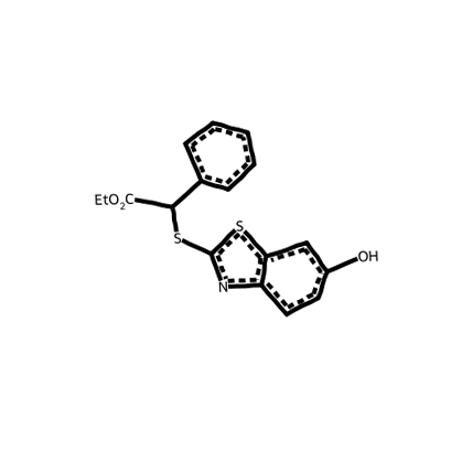 CCOC(=O)C(Sc1nc2ccc(O)cc2s1)c1ccccc1